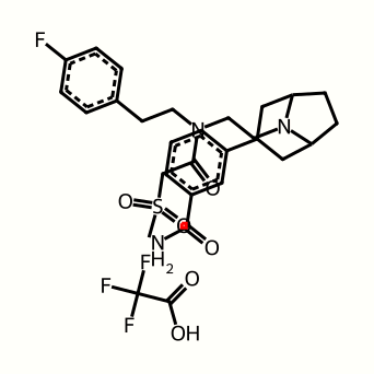 CS(=O)(=O)CC(=O)N(CCc1ccc(F)cc1)CCN1C2CCC1CC(c1cccc(C(N)=O)c1)C2.O=C(O)C(F)(F)F